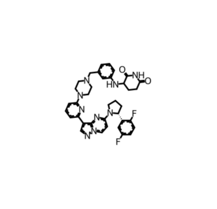 O=C1CCC(Nc2cccc(CN3CCN(c4cccc(-c5cnn6ccc(N7CCC[C@@H]7c7cc(F)ccc7F)nc56)n4)CC3)c2)C(=O)N1